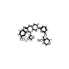 N#CC1(COc2cccc(N3CCN(Cc4nc5ccc(C(=O)O)cc5n4C[C@@H]4CCO4)CC3)n2)CCOCC1